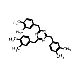 Cc1ccc(Cc2nc(Cc3ccc(C)c(C)c3)nc(Cc3ccc(C)c(C)c3)n2)cc1C